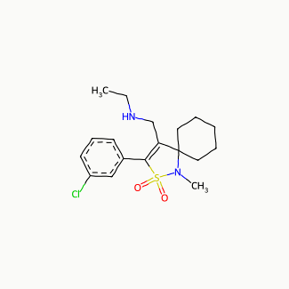 CCNCC1=C(c2cccc(Cl)c2)S(=O)(=O)N(C)C12CCCCC2